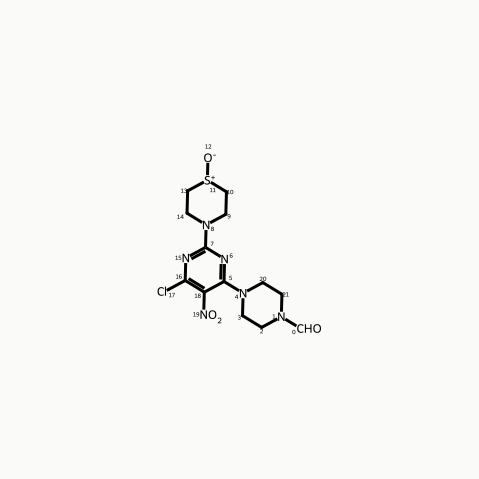 O=CN1CCN(c2nc(N3CC[S+]([O-])CC3)nc(Cl)c2[N+](=O)[O-])CC1